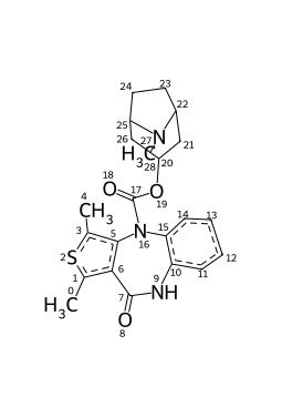 Cc1sc(C)c2c1C(=O)Nc1ccccc1N2C(=O)OC1CC2CCC(C1)N2C